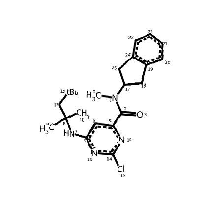 CN(C(=O)c1cc(NC(C)(C)CC(C)(C)C)nc(Cl)n1)C1Cc2ccccc2C1